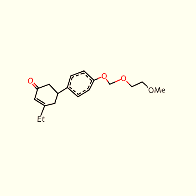 CCC1=CC(=O)CC(c2ccc(OCOCCOC)cc2)C1